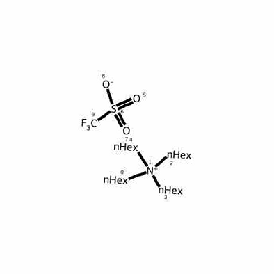 CCCCCC[N+](CCCCCC)(CCCCCC)CCCCCC.O=S(=O)([O-])C(F)(F)F